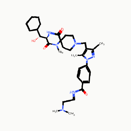 CCCCN1C(=O)[C@@H]([C@H](O)C2CCCCC2)NC(=O)C12CCN(Cc1c(C)nn(-c3ccc(C(=O)NCCN(C)C)cc3)c1C)CC2